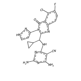 N#Cc1c(N)nc(N)nc1NC(c1nc2ccc(F)c(Cl)c2c(=O)n1-c1cc[nH]n1)C1CC1